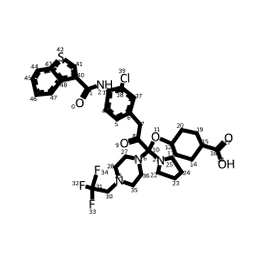 O=C(Nc1ccc(CC(=O)C(OC2CCC(C(=O)O)CC2)(N2CCCC2)N2CCN(CC(F)(F)F)CC2)cc1Cl)c1csc2ccccc12